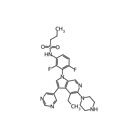 CCCS(=O)(=O)Nc1ccc(F)c(-n2cc(-c3cncnc3)c3c(CC)c(N4CCNCC4)ncc32)c1F